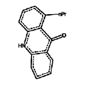 CCCc1cccc2[nH]c3ccccc3c(=O)c12